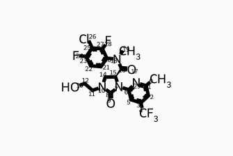 Cc1cc(C(F)(F)F)cc(N2C(=O)N(CCO)C[C@H]2C(=O)N(C)c2ccc(F)c(Cl)c2F)n1